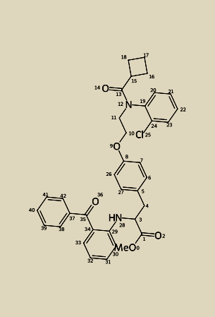 COC(=O)C(Cc1ccc(OCCN(C(=O)C2CCC2)c2ccccc2Cl)cc1)Nc1ccccc1C(=O)c1ccccc1